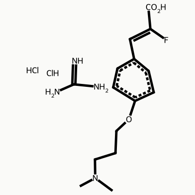 CN(C)CCCOc1ccc(C=C(F)C(=O)O)cc1.Cl.Cl.N=C(N)N